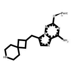 CCC[C@H](C)Oc1nc(N)c2ncc(CC3CC4(CCNCC4)C3)n2n1